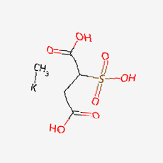 O=C(O)CC(C(=O)O)S(=O)(=O)O.[CH3][K]